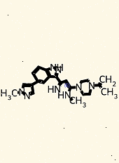 C=C(C)N1CCN(/C(=C/C(=N)c2n[nH]c3ccc(-c4cnn(C)c4)cc23)NC)CC1